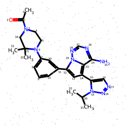 CC(=O)N1CCN(c2cccc(-c3cc(-c4cnnn4C(C)C)c4c(N)ncnn34)c2)C(C)(C)C1